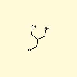 [O]CC(CS)CS